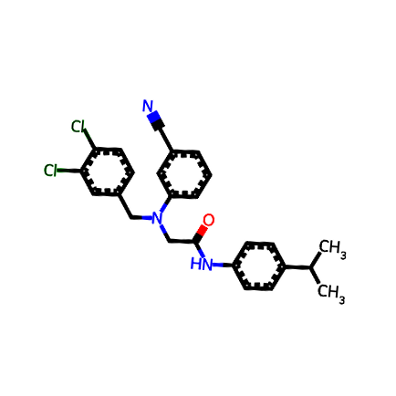 CC(C)c1ccc(NC(=O)CN(Cc2ccc(Cl)c(Cl)c2)c2cccc(C#N)c2)cc1